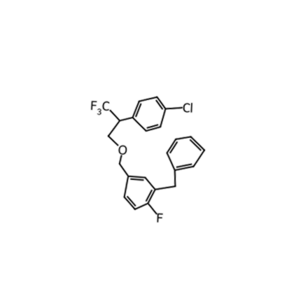 Fc1ccc(COCC(c2ccc(Cl)cc2)C(F)(F)F)cc1Cc1ccccc1